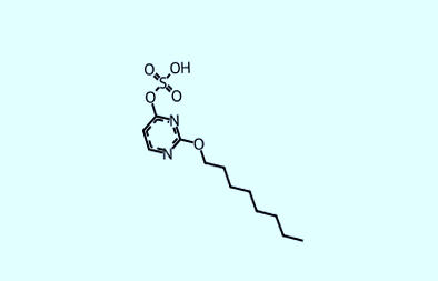 CCCCCCCCOc1nccc(OS(=O)(=O)O)n1